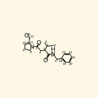 CC(C)C(CC(=O)N1CCC[C@H]1C=O)C(=O)NCc1ccccc1